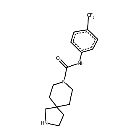 O=C(Nc1ccc(C(F)(F)F)cc1)N1CCC2(CCNC2)CC1